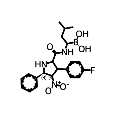 CC(C)CC(NC(=O)C1N[C@H](c2ccccc2)[C@H]([N+](=O)[O-])C1c1ccc(F)cc1)B(O)O